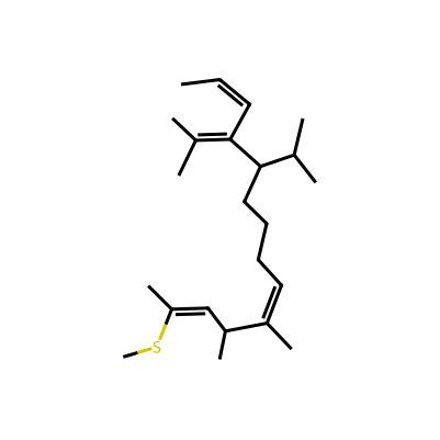 C/C=C\C(=C(C)C)C(CCCC=C(C)C(C)/C=C(/C)SC)C(C)C